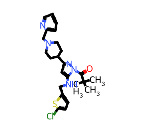 CC(C)(C)C(=O)n1nc(C2CCN(Cc3ccccn3)CC2)cc1NCc1ccc(Cl)s1